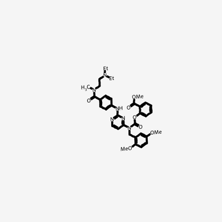 CCN(CC)CCN(C)C(=O)c1ccc(Nc2nccc(N(Cc3cc(OC)ccc3OC)C(=O)Oc3ccccc3C(=O)OC)n2)cc1